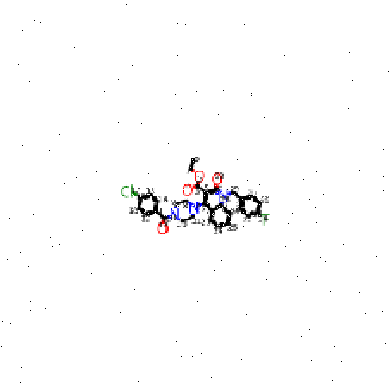 CCOC(=O)c1c(N2CCN(C(=O)c3ccc(Cl)cc3)CC2)c2ccccc2n(Cc2ccc(F)cc2)c1=O